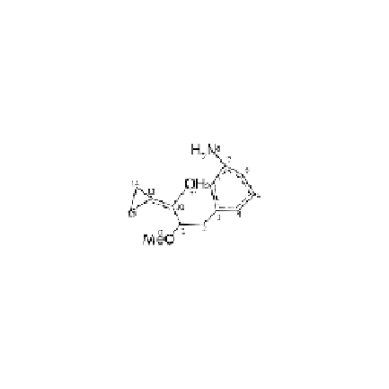 COC(Cc1cccc(N)c1)C(O)=C1CC1